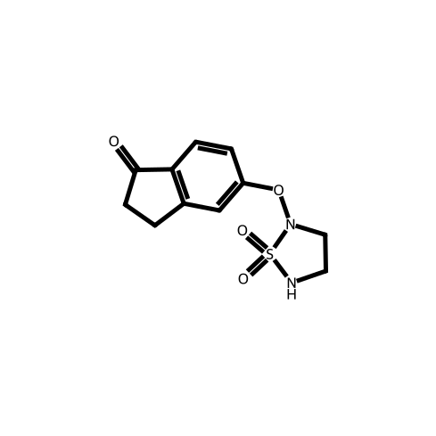 O=C1CCc2cc(ON3CCNS3(=O)=O)ccc21